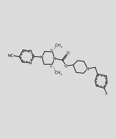 C[C@@H]1CN(c2ncc(C#N)cn2)C[C@H](C)N1C(=O)OC1CCN(Cc2ccc(F)cc2)CC1